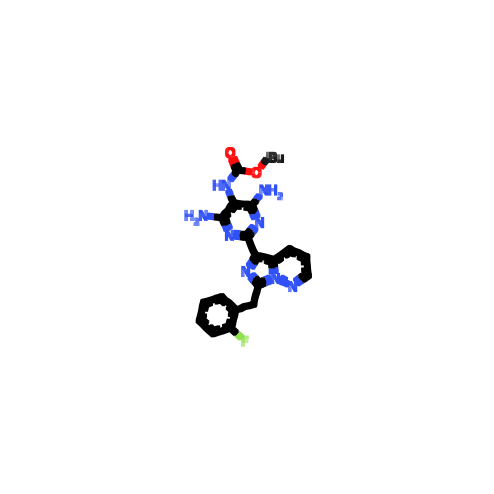 CCC(C)OC(=O)Nc1c(N)nc(-c2nc(Cc3ccccc3F)n3ncccc23)nc1N